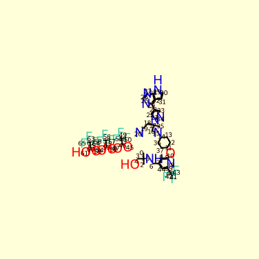 CC(C)(CO)NCc1cc(O[C@H]2CC[C@@H](N3CC(CC#N)(n4cc(-c5ncnc6[nH]ccc56)cn4)C3)CC2)nc(C(F)(F)F)c1.O=C(O)C(F)(F)F.O=C(O)C(F)(F)F.O=C(O)C(F)(F)F